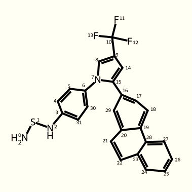 NSNc1ccc(-n2cc(C(F)(F)F)cc2-c2ccc3c(ccc4ccccc43)c2)cc1